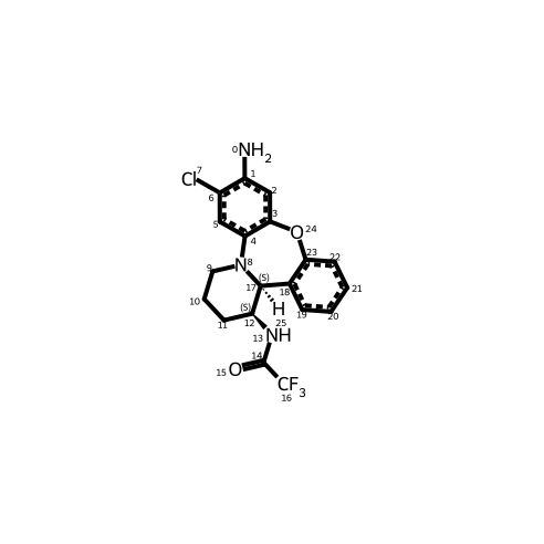 Nc1cc2c(cc1Cl)N1CCC[C@H](NC(=O)C(F)(F)F)[C@@H]1c1ccccc1O2